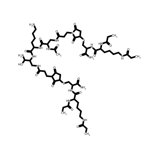 CCC(=O)NCCCCC(NC(=O)CC)C(=O)NC(CSC1CC(=O)C(CCC(=O)NCC(NC(=O)C(CCCCN)NC(=O)C(CNC(=O)CCN2C(=O)CC(SCC(NC(=O)C(CCCCNC(=O)CC)NC(=O)CC)C(N)=O)C2=O)NC(C)=O)C(N)O)C1=O)C(N)=O